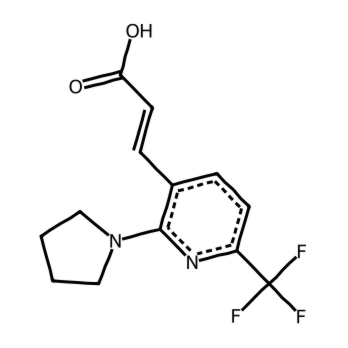 O=C(O)C=Cc1ccc(C(F)(F)F)nc1N1CCCC1